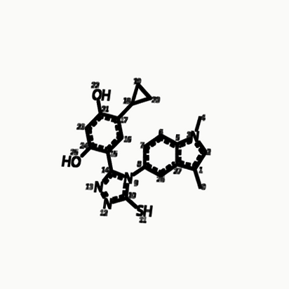 Cc1cn(C)c2ccc(-n3c(S)nnc3-c3cc(C4CC4)c(O)cc3O)cc12